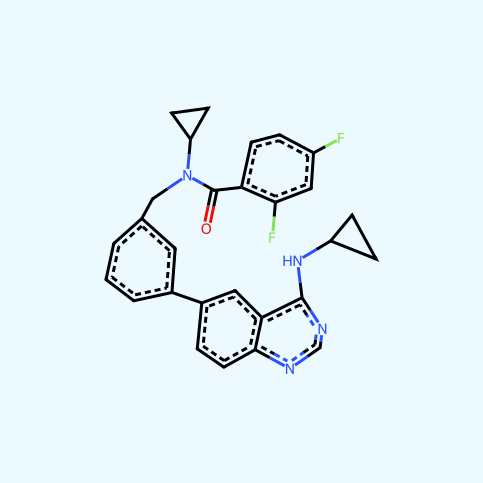 O=C(c1ccc(F)cc1F)N(Cc1cccc(-c2ccc3ncnc(NC4CC4)c3c2)c1)C1CC1